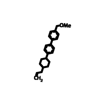 C=CCC1CCC(c2ccc(-c3ccc(COC)cc3)cc2)CC1